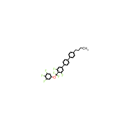 CCCCc1ccc(-c2ccc(-c3cc(F)c(C(F)(F)Oc4cc(F)c(F)c(F)c4)c(F)c3)cc2)cc1